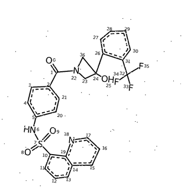 O=C(c1ccc(NS(=O)(=O)c2cccc3cccnc23)cc1)N1CC(O)(c2ccccc2C(F)(F)F)C1